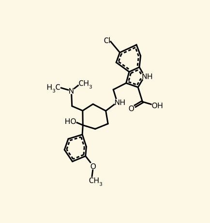 COc1cccc(C2(O)CCC(NCc3c(C(=O)O)[nH]c4ccc(Cl)cc34)CC2CN(C)C)c1